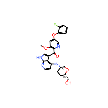 COc1cc(Oc2ccccc2F)cnc1C(=O)c1c[nH]c2nccc(N[C@@H]3CC[C@@H](CO)OC3)c12